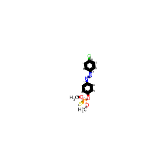 COP(=S)(OC)Oc1ccc(/N=N/c2ccc(Cl)cc2)cc1